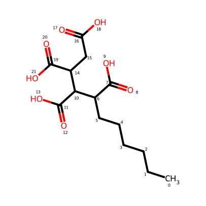 CCCCCCC(C(=O)O)C(C(=O)O)C(CC(=O)O)C(=O)O